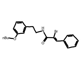 CCCCOc1cccc(CCNC(=O)/C(Br)=C/c2ccccc2)c1